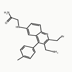 Cc1ccc(-c2c(CN)c(CC(C)C)nc3ccc(NCC(N)=O)cc23)cc1